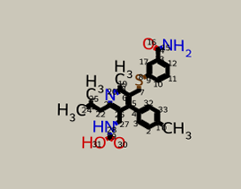 Cc1ccc(-c2c(CSc3cccc(C(N)=O)c3)c(C)nc(CC(C)C)c2CNC(=O)O)cc1